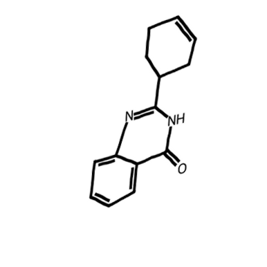 O=c1[nH]c(C2CC=CCC2)nc2ccccc12